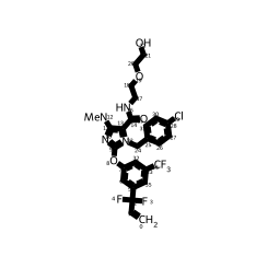 C=CC(F)(F)c1cc(Oc2nc(NC)c(C(=O)NCCOCCO)n2Cc2ccc(Cl)cc2)cc(C(F)(F)F)c1